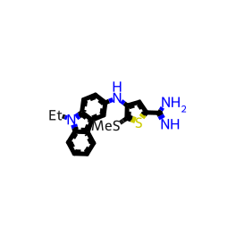 CCn1c2ccccc2c2cc(Nc3cc(C(=N)N)sc3SC)ccc21